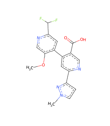 COc1cnc(C(F)F)cc1-c1cc(-c2ccn(C)n2)ncc1C(=O)O